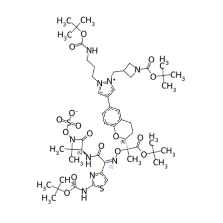 CC(C)(C)OC(=O)NCCCn1cc(-c2ccc3c(c2)CC[C@H](C(C)(O/N=C(\C(=O)N[C@@H]2C(=O)N(OS(=O)(=O)[O-])C2(C)C)c2csc(NC(=O)OC(C)(C)C)n2)C(=O)OC(C)(C)C)O3)c[n+]1CC1CN(C(=O)OC(C)(C)C)C1